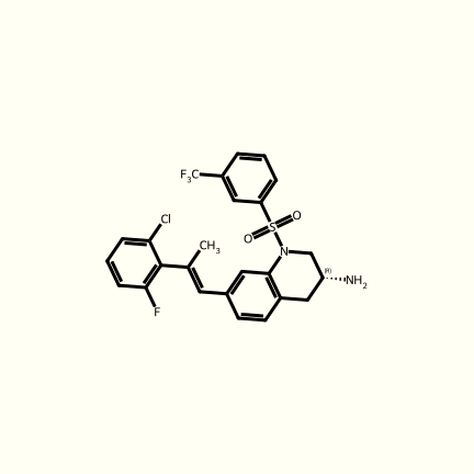 CC(=Cc1ccc2c(c1)N(S(=O)(=O)c1cccc(C(F)(F)F)c1)C[C@H](N)C2)c1c(F)cccc1Cl